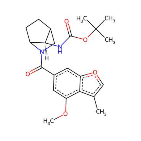 COc1cc(C(=O)N2CC3CCC2[C@@H]3NC(=O)OC(C)(C)C)cc2occ(C)c12